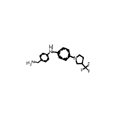 NCc1ccc(Nc2ccc(N3CCC(C(F)(F)F)C3)cc2)cc1